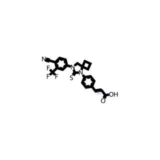 N#Cc1ccc(N2CC3(CCC3)N(c3ccc(/C=C/C(=O)O)cc3)C2=S)cc1C(F)(F)F